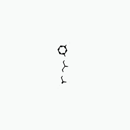 C=C(C)COCC(O)COc1cccc(C=O)c1